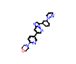 c1cc(-c2cnc3cc(-c4ccc(N5CCOCC5)nc4)cnn23)cc(-n2cccn2)c1